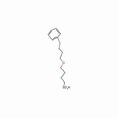 O=S(=O)(O)CCCCOCCCCc1ccccc1